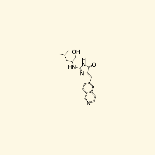 CC(C)CC(CO)NC1=N/C(=C\c2ccc3cnccc3c2)C(=O)N1